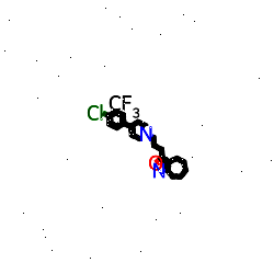 FC(F)(F)c1cc(C2=CCN(CCCc3onc4c3CCCCC4)CC2)ccc1Cl